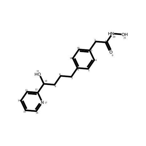 O=C(Cc1ccc(CCCC(O)c2ccccn2)cc1)NO